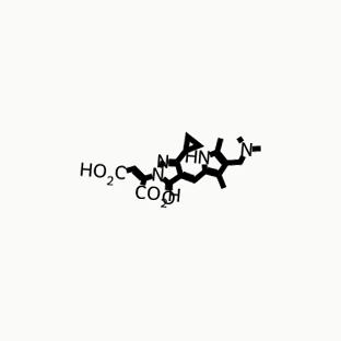 Cc1[nH]c(C=C2C(=O)N(/C(=C/C(=O)O)C(=O)O)N=C2C2CC2)c(C)c1CN(C)C